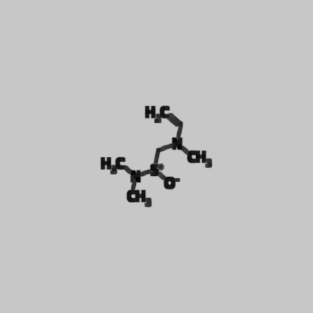 C=CN(C)C[S+]([O-])N(C)C